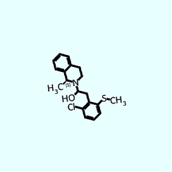 CSc1cccc(Cl)c1CC(O)N1CCc2ccccc2[C@@H]1C